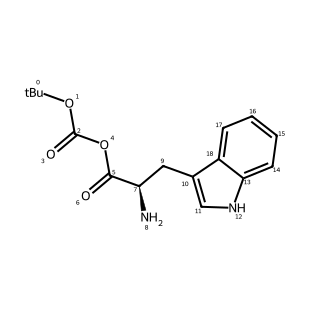 CC(C)(C)OC(=O)OC(=O)[C@H](N)Cc1c[nH]c2ccccc12